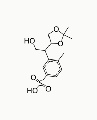 Cc1ccc(S(=O)(=O)O)cc1C(CO)C1COC(C)(C)O1